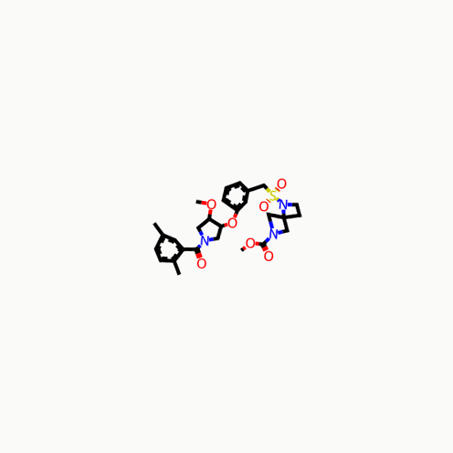 COC(=O)N1CC2(CCN2S(=O)(=O)Cc2cccc(OC3CN(C(=O)c4cc(C)ccc4C)CC3OC)c2)C1